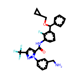 NCc1cccc(-n2nc(C(F)(F)F)cc2C(=O)Nc2cccc(C(OCC3CC3)c3ccccc3)c2F)c1